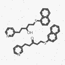 O=C(CCSc1ccc2ccccc2c1)CCc1cccnc1.OC(CCSc1cccc2ccccc12)CCc1cccnc1